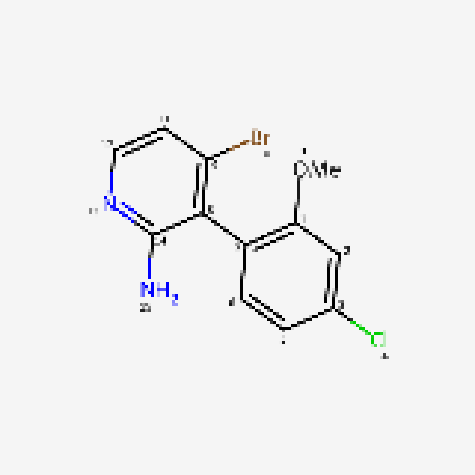 COc1cc(Cl)ccc1-c1c(Br)ccnc1N